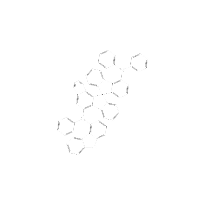 c1ccc(N(c2ccccc2)c2cccc3c2-c2ccccc2C32c3ccccc3-c3c(N(c4ccccc4)c4cccc5oc6ccccc6c45)cc4ccccc4c32)cc1